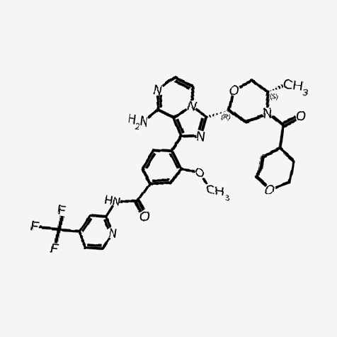 COc1cc(C(=O)Nc2cc(C(F)(F)F)ccn2)ccc1-c1nc([C@H]2CN(C(=O)C3CCOCC3)[C@@H](C)CO2)n2ccnc(N)c12